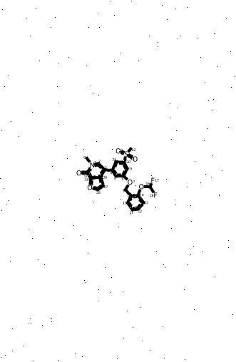 Cn1cc(-c2cc(OCc3ccccc3OC(F)F)cc(S(C)(=O)=O)c2)c2ccoc2c1=O